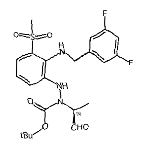 C[C@@H](C=O)N(Nc1cccc(S(C)(=O)=O)c1NCc1cc(F)cc(F)c1)C(=O)OC(C)(C)C